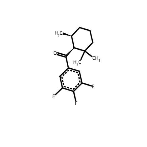 C[C@H]1CCCC(C)(C)[C@H]1C(=O)c1cc(F)c(F)c(F)c1